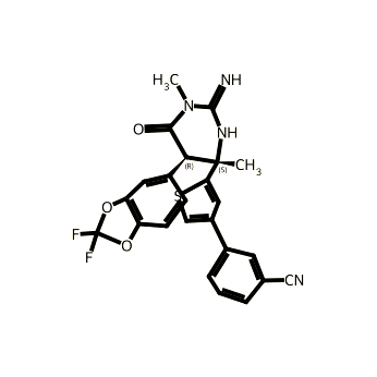 CN1C(=N)N[C@](C)(c2cc(-c3cccc(C#N)c3)cs2)[C@@H](c2ccc3c(c2)OC(F)(F)O3)C1=O